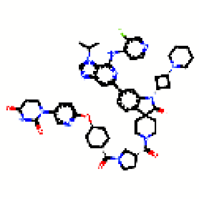 CC(C)n1cnc2cc(-c3ccc4c(c3)N([C@H]3C[C@@H](N5CCCCC5)C3)C(=O)C43CCN(C(=O)[C@@H]4CCN(C(=O)[C@H]5CC[C@H](Oc6ccc(N7CCC(=O)NC7=O)cn6)CC5)C4)CC3)nc(Nc3ccncc3F)c21